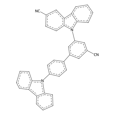 N#Cc1cc(-c2ccc(-n3c4ccccc4c4ccccc43)cc2)cc(-n2c3ccccc3c3cc(C#N)ccc32)c1